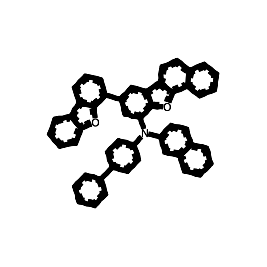 c1ccc(-c2ccc(N(c3ccc4ccccc4c3)c3cc(-c4cccc5c4oc4ccccc45)cc4c3oc3c5ccccc5ccc43)cc2)cc1